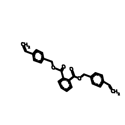 C=Cc1ccc(COC(=O)c2ccccc2C(=O)OCc2ccc(C=C)cc2)cc1